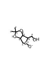 CC1(C)OC2C[S+]([O-])C(CO)C2O1